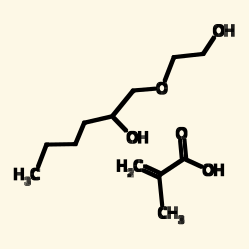 C=C(C)C(=O)O.CCCCC(O)COCCO